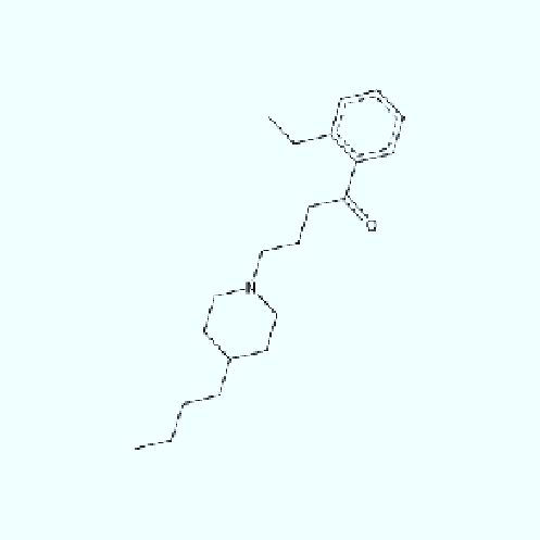 CCCCC1CCN(CCCC(=O)c2ccccc2CC)CC1